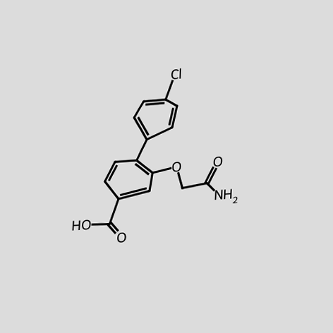 NC(=O)COc1cc(C(=O)O)ccc1-c1ccc(Cl)cc1